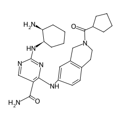 NC(=O)c1cnc(N[C@@H]2CCCC[C@@H]2N)nc1Nc1ccc2c(c1)CN(C(=O)C1CCCC1)CC2